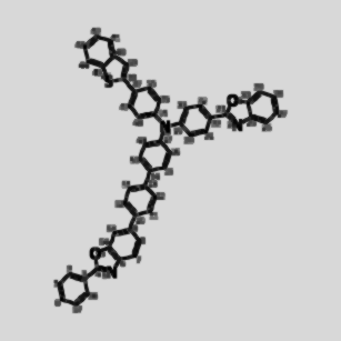 c1ccc(-c2nc3ccc(-c4ccc(-c5ccc(N(c6ccc(-c7nc8ccccc8o7)cc6)c6ccc(-c7cc8ccccc8s7)cc6)cc5)cc4)cc3o2)cc1